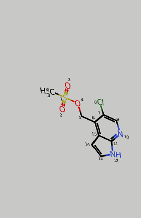 CS(=O)(=O)OCc1c(Cl)cnc2[nH]ccc12